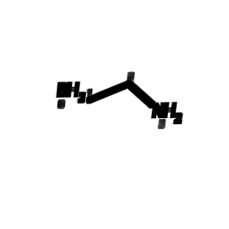 B.CCN